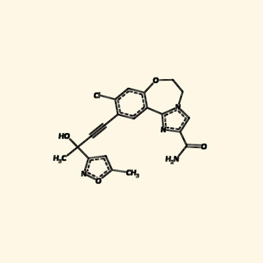 Cc1cc(C(C)(O)C#Cc2cc3c(cc2Cl)OCCn2cc(C(N)=O)nc2-3)no1